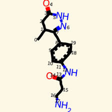 CC1CC(=O)NN=C1c1ccc(NC(=O)CCN)cc1